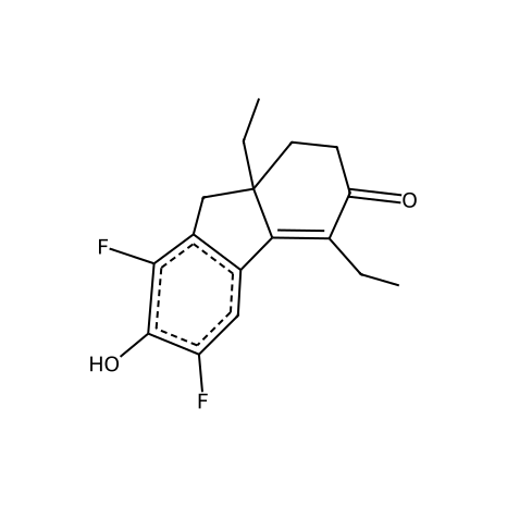 CCC1=C2c3cc(F)c(O)c(F)c3CC2(CC)CCC1=O